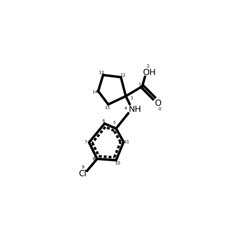 O=C(O)C1(Nc2ccc(Cl)cc2)CCCC1